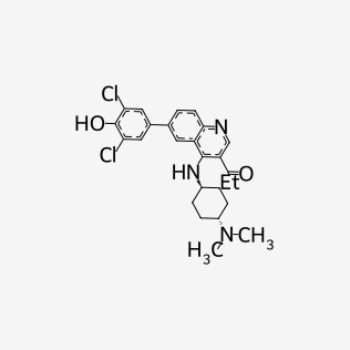 CCC(=O)c1cnc2ccc(-c3cc(Cl)c(O)c(Cl)c3)cc2c1N[C@H]1CC[C@H](N(C)C)CC1